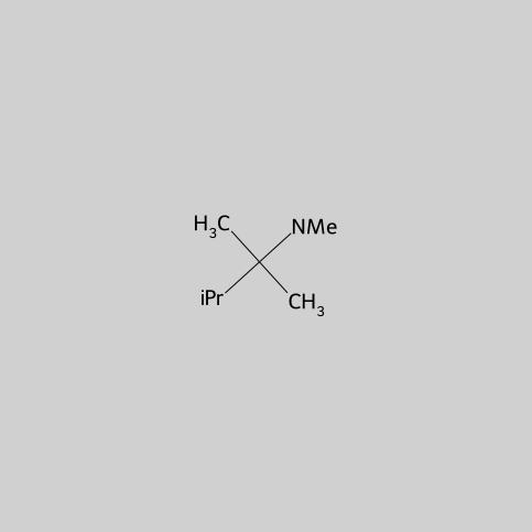 CNC(C)(C)C(C)C